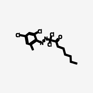 CCCCCCC(=O)C(Cl)(Cl)N=Nc1c(C)cc(Cl)cc1Cl